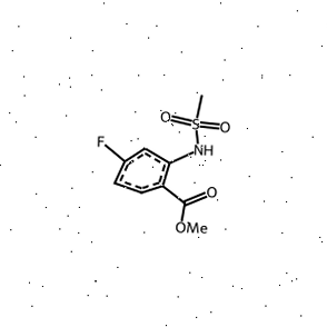 COC(=O)c1ccc(F)cc1NS(C)(=O)=O